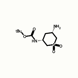 CC(C)(C)OC(=O)N[C@@H]1C[C@H](N)CS(=O)(=O)C1